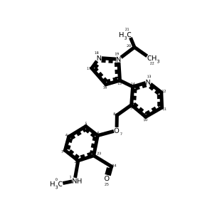 CNc1cccc(OCc2cccnc2-c2ccnn2C(C)C)c1C=O